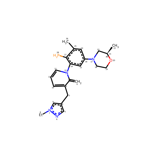 C=C1C(Cc2cnn(CC)c2)=CC=CN1c1cc(N2CCO[C@H](C)C2)cc(C)c1P